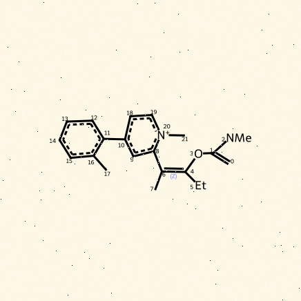 C=C(NC)O/C(CC)=C(/C)c1cc(-c2ccccc2C)cc[n+]1C